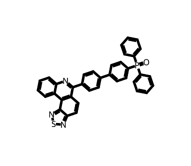 O=P(c1ccccc1)(c1ccccc1)c1ccc(-c2ccc(-c3nc4ccccc4c4c3ccc3nsnc34)cc2)cc1